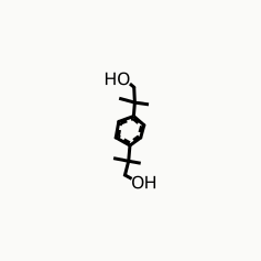 CC(C)(CO)c1ccc(C(C)(C)CO)cc1